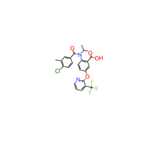 Cc1cc(C(=O)N(c2ccc(Oc3ncccc3C(F)(F)F)cc2C(=O)O)C(C)C)ccc1Cl